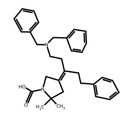 CC1(C)CC(=C(CCc2ccccc2)CCN(Cc2ccccc2)Cc2ccccc2)CN1C(=O)O